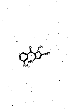 CCCc1cc(CCC)n(CCC)c1C(=O)c1cccc(N)c1